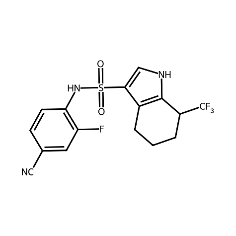 N#Cc1ccc(NS(=O)(=O)c2c[nH]c3c2CCCC3C(F)(F)F)c(F)c1